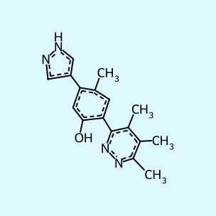 Cc1cc(-c2nnc(C)c(C)c2C)c(O)cc1-c1cn[nH]c1